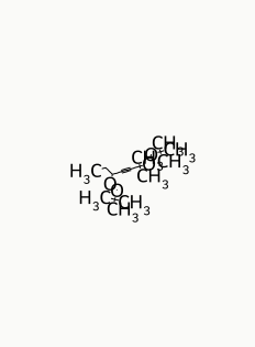 CCC(C#CC(C)(C)OOC(C)(C)C)OOC(C)(C)C